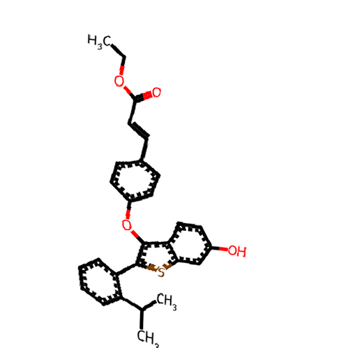 CCOC(=O)/C=C/c1ccc(Oc2c(-c3ccccc3C(C)C)sc3cc(O)ccc23)cc1